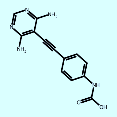 Nc1ncnc(N)c1C#Cc1ccc(NC(=O)O)cc1